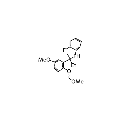 CCC(C)(Pc1ccccc1F)c1cc(OC)ccc1OCOC